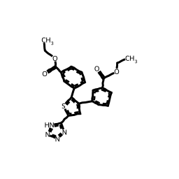 CCOC(=O)c1cccc(-c2cc(-c3nnn[nH]3)sc2-c2cccc(C(=O)OCC)c2)c1